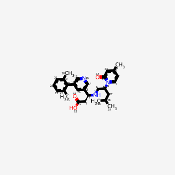 Cc1ccn(C(CN[C@@H](CC(=O)O)c2cncc(-c3c(C)cccc3C)c2)CC(C)C)c(=O)c1